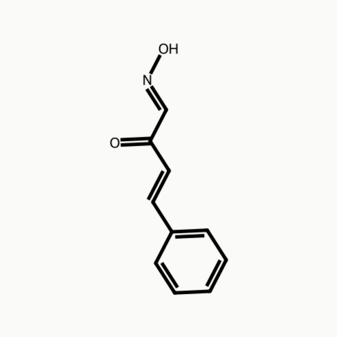 O=C(C=Cc1ccccc1)C=NO